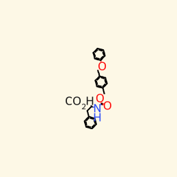 O=C(NC(Cc1ccccc1)C(=O)O)OCc1ccc(COc2ccccc2)cc1